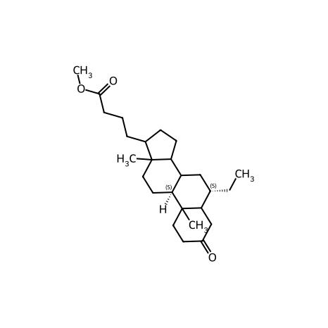 CC[C@H]1CC2C3CCC(CCCC(=O)OC)C3(C)CC[C@@H]2C2(C)CCC(=O)CC12